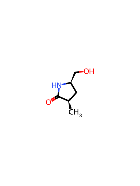 C[C@@H]1C[C@H](CO)NC1=O